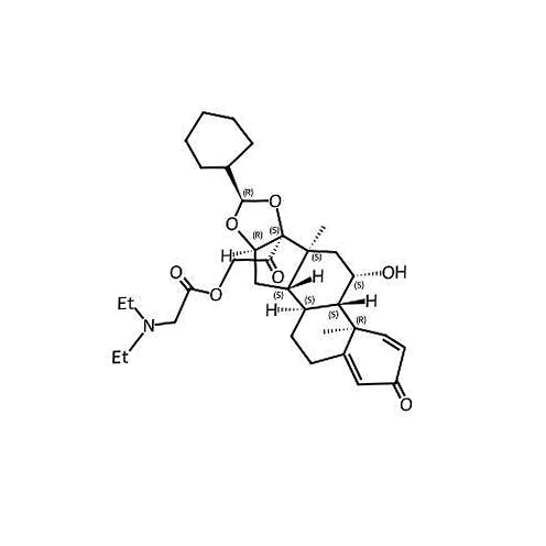 CCN(CC)CC(=O)OCC(=O)[C@@]12O[C@H](C3CCCCC3)O[C@@H]1C[C@H]1[C@@H]3CCC4=CC(=O)C=C[C@]4(C)[C@H]3[C@@H](O)C[C@@]12C